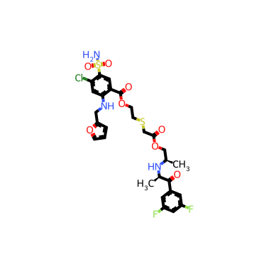 C[C@H](COC(=O)CSCCOC(=O)c1cc(S(N)(=O)=O)c(Cl)cc1NCc1ccco1)N[C@H](C)C(=O)c1cc(F)cc(F)c1